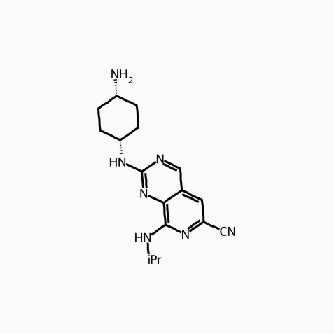 CC(C)Nc1nc(C#N)cc2cnc(N[C@H]3CC[C@@H](N)CC3)nc12